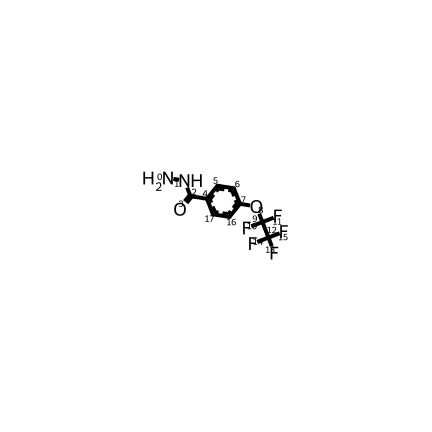 NNC(=O)c1ccc(OC(F)(F)C(F)(F)F)cc1